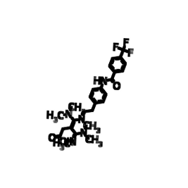 C\N=C(/C(CC(=O)O)=C(\N=C\Cc1ccc(NC(=O)c2ccc(C(F)(F)F)cc2)cc1)N(C)C)N(C)C